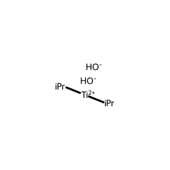 C[CH](C)[Ti+2][CH](C)C.[OH-].[OH-]